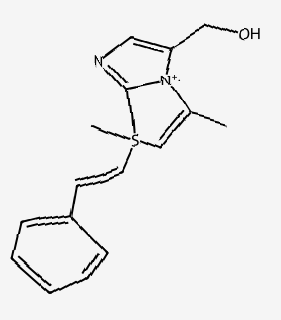 CC1=CS(C)(C=Cc2ccccc2)C2=NC=C(CO)[N+]12